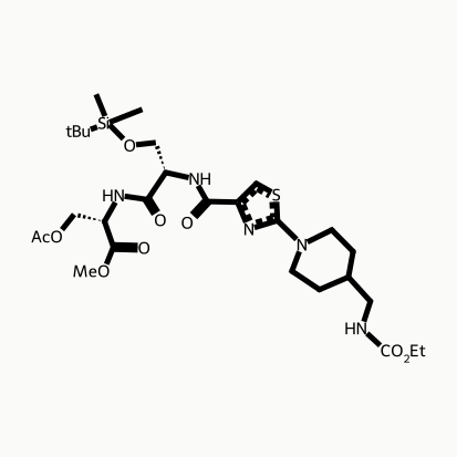 CCOC(=O)NCC1CCN(c2nc(C(=O)N[C@@H](CO[Si](C)(C)C(C)(C)C)C(=O)N[C@@H](COC(C)=O)C(=O)OC)cs2)CC1